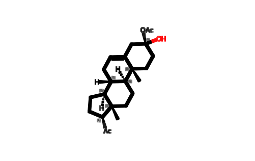 CC(=O)O[C@@]1(O)CC[C@@]2(C)C(=CC[C@H]3[C@@H]4CC[C@H](C(C)=O)[C@@]4(C)CC[C@@H]32)C1